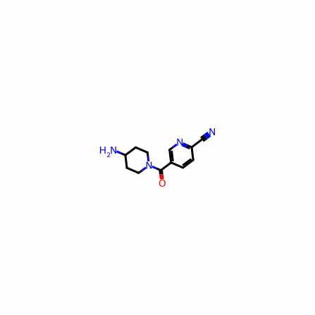 N#Cc1ccc(C(=O)N2CCC(N)CC2)cn1